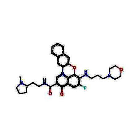 CN1CCCC1CCNC(=O)c1cn2c3c(c(NCCCN4CCOCC4)c(F)cc3c1=O)Oc1cc3ccccc3cc1-2